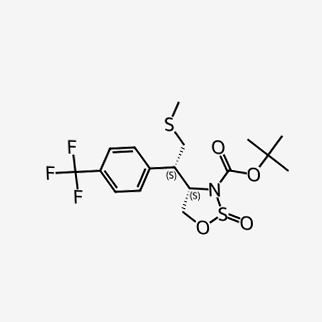 CSC[C@@H](c1ccc(C(F)(F)F)cc1)[C@H]1COS(=O)N1C(=O)OC(C)(C)C